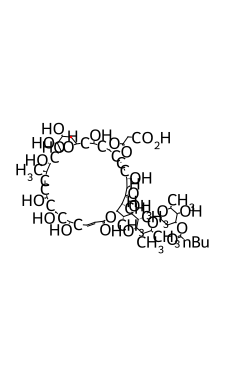 CCCCC(=O)O[C@H]1C[C@H](O[C@@H](C)[C@H](C)[C@H](O)[C@@H](C)[C@H](O)[C@H](C)[C@H]2OC(=O)/C=C/C[C@H](O)C[C@H](O)C[C@@H](O)CC[C@@H](C)[C@H](O)C[C@]3(O)O[C@H](C[C@@H](O)C[C@H](OC(=O)CC(=O)O)CCC[C@H](O)[C@@H]4O[C@H]4[C@@H]2C)C[C@H](O)[C@H]3O)O[C@@H](C)[C@H]1O